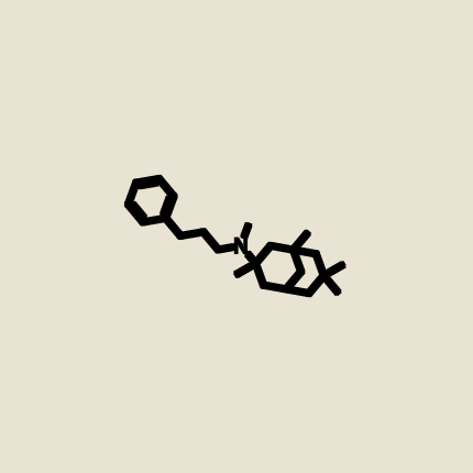 CN(CCCc1ccccc1)C1(C)CC2CC(C)(C)CC(C)(C2)C1